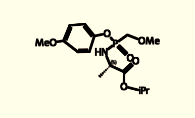 COCP(=O)(N[C@@H](C)C(=O)OC(C)C)Oc1ccc(OC)cc1